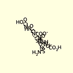 CC(C)(ON=C(C(=O)N[C@@H]1C(=O)N2C(C(=O)[O-])=C(C[n+]3cccc(NC(=O)C4=CC(=O)C(O)C=N4)c3)CS[C@@H]12)c1csc(N)n1)C(=O)O